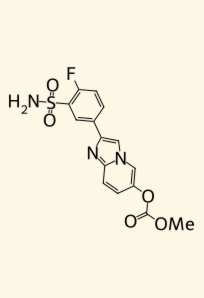 COC(=O)Oc1ccc2nc(-c3ccc(F)c(S(N)(=O)=O)c3)cn2c1